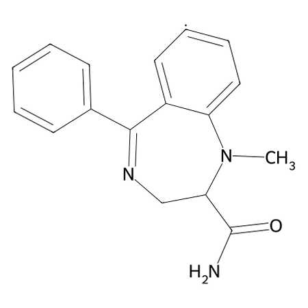 CN1c2cc[c]cc2C(c2ccccc2)=NCC1C(N)=O